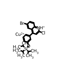 CC(C)[Si](Oc1cccc(-c2cc(Cl)[nH+]c3ccc(Br)cc23)c1)(C(C)C)C(C)C.[Cu+2]